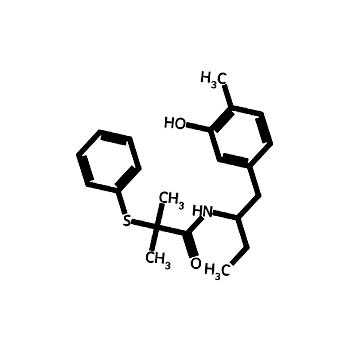 CCC(Cc1ccc(C)c(O)c1)NC(=O)C(C)(C)Sc1ccccc1